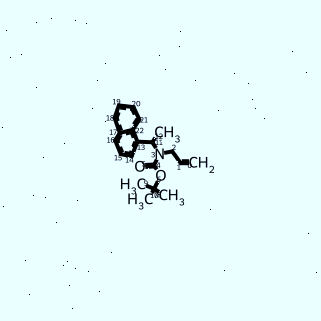 C=CCN(C(=O)OC(C)(C)C)C(C)c1cccc2ccccc12